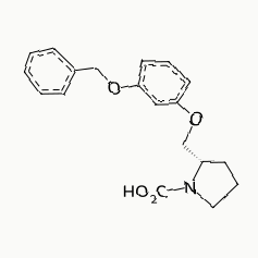 O=C(O)N1CCC[C@H]1COc1cccc(OCc2ccccc2)c1